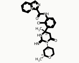 C[C@@H]1C[C@H](N2C(=N)N[C@](C)(c3cccc(NC(=O)c4ncc5ccccn45)c3Cl)CC2=O)CCO1